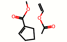 C=COC(C)=O.COC(=O)C1=CCCC1